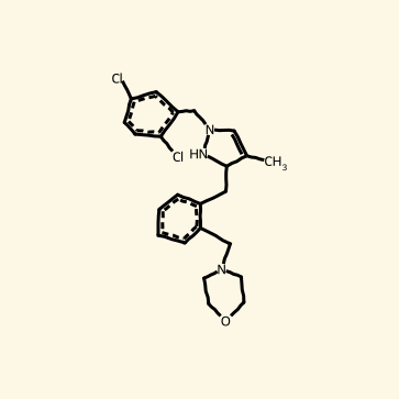 CC1=CN(Cc2cc(Cl)ccc2Cl)NC1Cc1ccccc1CN1CCOCC1